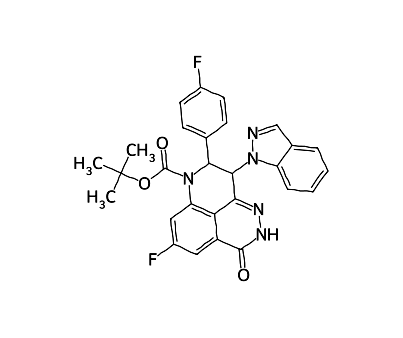 CC(C)(C)OC(=O)N1c2cc(F)cc3c(=O)[nH]nc(c23)C(n2ncc3ccccc32)C1c1ccc(F)cc1